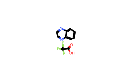 O=C(O)C(F)(F)F.c1ccc2nccnc2c1